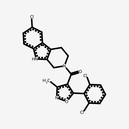 Cc1noc(-c2c(Cl)cccc2Cl)c1C(=O)N1CCc2c([nH]c3ccc(Cl)cc23)C1